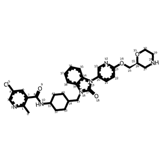 Cc1ncc(Cl)cc1C(=O)NC1CCC(Cn2c(=O)n(-c3ccc(OC[C@@H]4CNCCO4)nc3)c3ccccc32)CC1